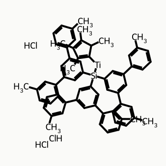 CC1=C(C)C(C)[C]([Ti][Si](c2cc(-c3cccc(C)c3)cc(-c3cccc(C)c3)c2)(c2cc(-c3cccc(C)c3)cc(-c3cccc(C)c3)c2)c2cc(-c3cccc(C)c3)cc(-c3cccc(C)c3)c2)=C1C.Cl.Cl.Cl